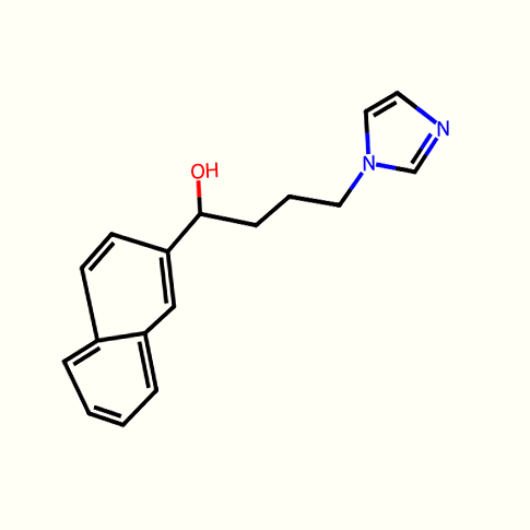 OC(CCCn1ccnc1)c1ccc2ccccc2c1